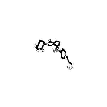 NCCCN1CCC(Nc2cccc3c2CN(C2CCC(=O)NC2=O)C3=O)CC1